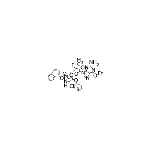 CCOc1nc(N)nc2c1ncn2C1O[C@H](COP(=O)(N[C@@H](C)C(=O)OC2CCCCC2)Oc2cccc3ccccc23)[C@@H](F)[C@@]1(C)O